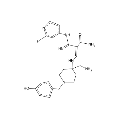 N=C(Nc1ccnc(F)c1)/C(=C\NC1(CN)CCN(Cc2ccc(O)cc2)CC1)C(N)=O